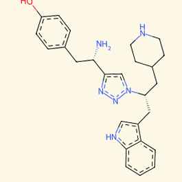 N[C@@H](Cc1ccc(O)cc1)c1cn([C@@H](Cc2c[nH]c3ccccc23)CC2CCNCC2)nn1